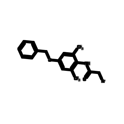 O=C(CBr)Nc1c(C(F)(F)F)cc(OCc2ccccc2)cc1C(F)(F)F